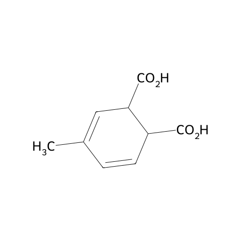 CC1=CC(C(=O)O)C(C(=O)O)C=C1